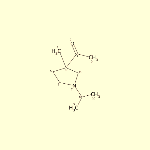 CC(=O)C1(C)CCN(C(C)C)C1